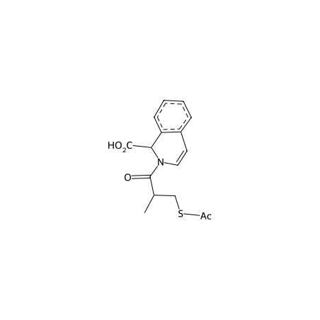 CC(=O)SCC(C)C(=O)N1C=Cc2ccccc2C1C(=O)O